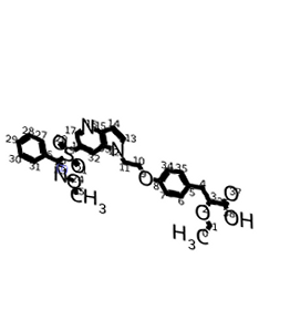 CCOC(Cc1ccc(OCCn2ccc3ncc(S(=O)(=O)/C(=N\OC)c4ccccc4)cc32)cc1)C(=O)O